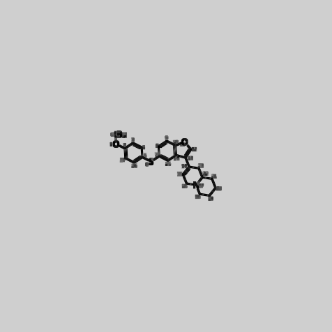 CC(C)(C)Oc1ccc(Sc2ccc3occ(C4=CCN5CCCCC5C4)c3c2)cc1